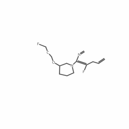 C=CC/C(F)=C(\N=C)N1CCCC(OCCCF)C1